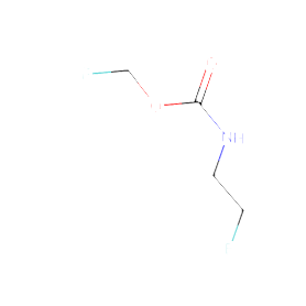 O=C(NCCF)OCF